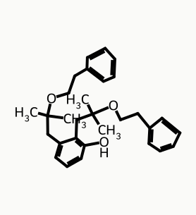 CC(C)(Cc1cccc(O)c1CC(C)(C)OCCc1ccccc1)OCCc1ccccc1